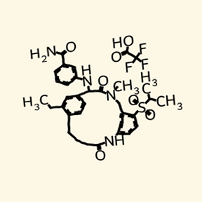 CCc1cc2ccc1CCCC(=O)Nc1ccc(S(=O)(=O)C(C)C)c(c1)CN(C)C(=O)C2Nc1cccc(C(N)=O)c1.O=C(O)C(F)(F)F